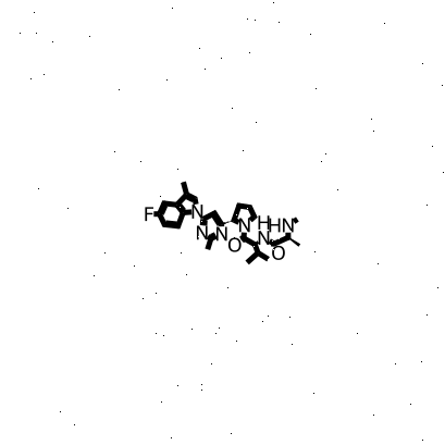 CN[C@@H](C)C(=O)N[C@H](C(=O)N1CCC[C@H]1c1cc(-n2cc(C)c3cc(F)ccc32)nc(C)n1)C(C)C